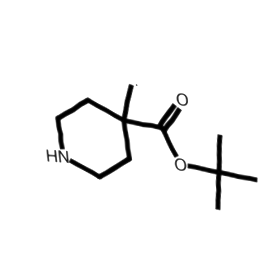 [CH2]C1(C(=O)OC(C)(C)C)CCNCC1